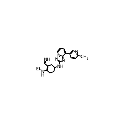 CCNC1=C(C=N)CC(Nc2nc3c(-c4ccc(C)nc4)cccn3n2)CC1